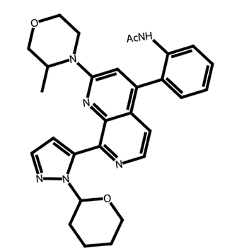 CC(=O)Nc1ccccc1-c1cc(N2CCOCC2C)nc2c(-c3ccnn3C3CCCCO3)nccc12